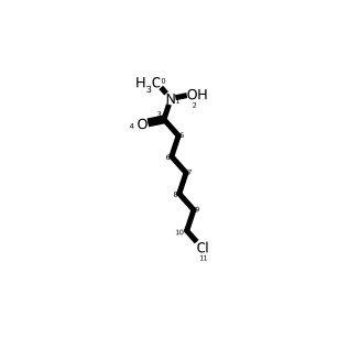 CN(O)C(=O)CCCCCCCl